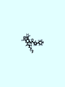 CCOCCCN(C)c1cc(N(C)O)c(NC)cc1NC(=O)c1ccc(-c2ccncc2)s1